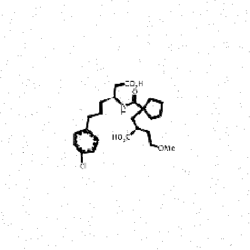 COCC[C@H](CC1(C(=O)N[C@@H](CCCc2ccc(Cl)cc2)CC(=O)O)CCCC1)C(=O)O